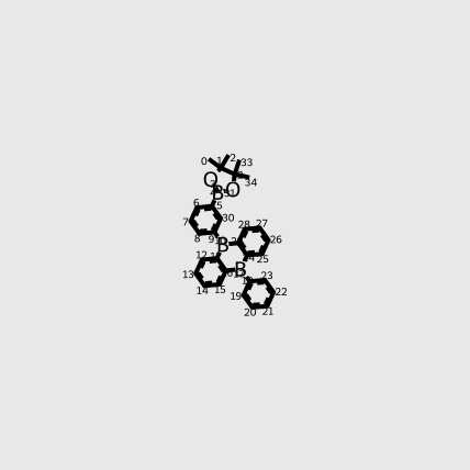 CC1(C)OB(c2cccc(B3c4ccccc4B(c4ccccc4)c4ccccc43)c2)OC1(C)C